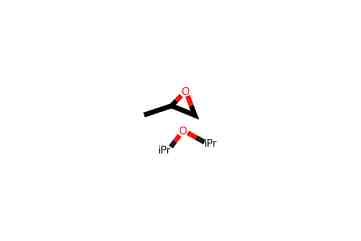 CC(C)OC(C)C.CC1CO1